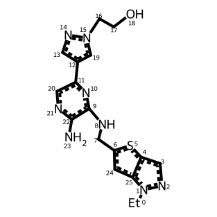 CCn1ncc2sc(CNc3nc(-c4cnn(CCO)c4)cnc3N)cc21